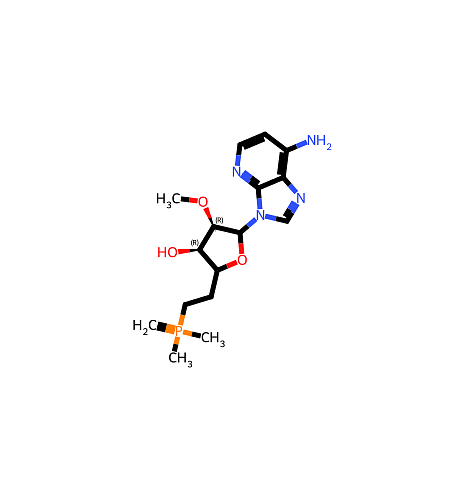 C=P(C)(C)CCC1OC(n2cnc3c(N)ccnc32)[C@H](OC)[C@@H]1O